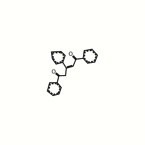 O=C(C=C(CC(=O)c1ccccc1)c1ccccc1)c1ccccc1